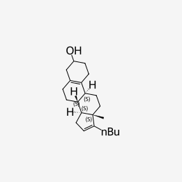 CCCCC1=CC[C@H]2[C@@H]3CCC4=C(CCC(O)C4)[C@H]3CC[C@]12C